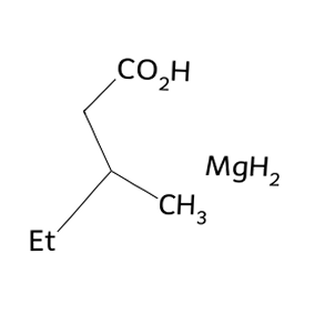 CCC(C)CC(=O)O.[MgH2]